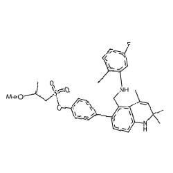 COC(C)CS(=O)(=O)Oc1ccc(-c2ccc3c(c2CNc2cc(F)ccc2C)C(C)=CC(C)(C)N3)cc1